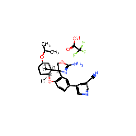 CC(C)O[C@H]1CC[C@@H]2Oc3ccc(-c4cncc(C#N)c4)cc3[C@]3(COC(N)=N3)[C@H]2C1.O=C(O)C(F)(F)F